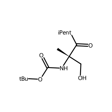 CCCC(C)C(=O)[C@](C)(CO)NC(=O)OC(C)(C)C